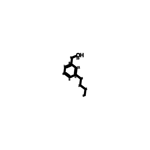 CCCCc1[c]ccc(CO)c1